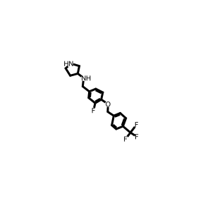 Fc1cc(CNC2CCNC2)ccc1OCc1ccc(C(F)(F)F)cc1